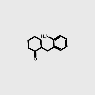 Nc1ccccc1CC1CCCCC1=O